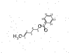 CC=CCCCOC(=O)c1ccccc1